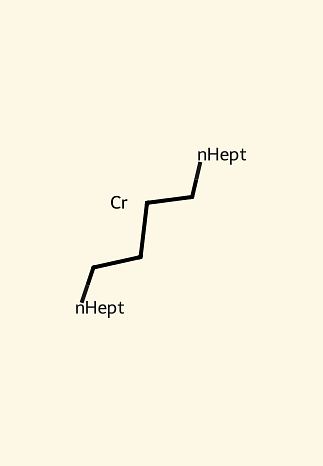 [CH2]CCCCCCCCCCCCCCCCC.[Cr]